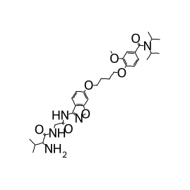 COc1cc(C(=O)N(C(C)C)C(C)C)ccc1OCCCCOc1ccc2c(NC(=O)CNC(=O)C(N)C(C)C)noc2c1